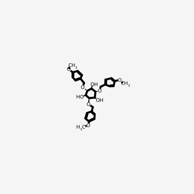 COc1ccc(CO[C@H]2[C@H](O)[C@H](OCc3ccc(OC)cc3)[C@H](O)[C@@H](OCc3ccc(OC)cc3)[C@@H]2O)cc1